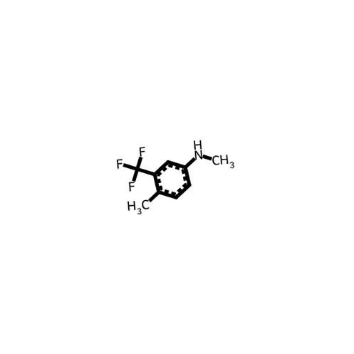 CNc1ccc(C)c(C(F)(F)F)c1